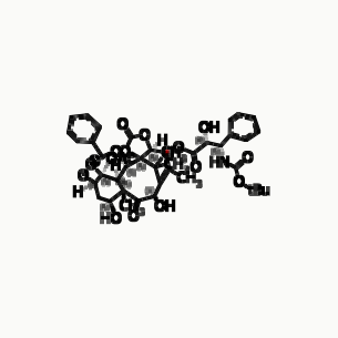 CC(=O)O[C@@]12OO[C@@H]1C[C@H](O)[C@@]1(C)C(=O)[C@H](O)C3=C(C)[C@@H](OC(=O)[C@H](O)[C@@H](NC(=O)OC(C)(C)C)c4ccccc4)[C@@H]4OC(=O)O[C@]4([C@@H](OC(=O)c4ccccc4)[C@H]21)C3(C)C